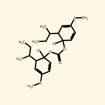 CCC(C)C1C=C(SC)C=CC1(Cl)OC(=O)OC1(Cl)C=CC(SC)=CC1C(C)CC